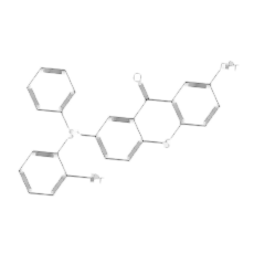 CCCc1ccc2sc3ccc([S+](c4ccccc4)c4ccccc4C(C)C)cc3c(=O)c2c1